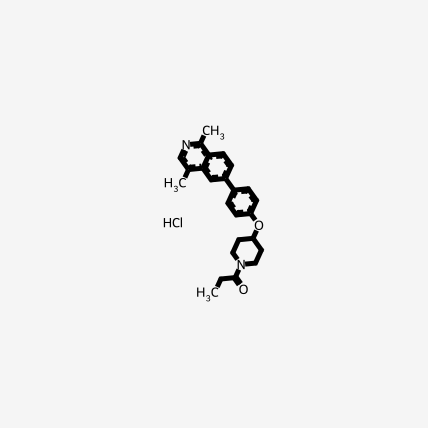 CCC(=O)N1CCC(Oc2ccc(-c3ccc4c(C)ncc(C)c4c3)cc2)CC1.Cl